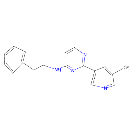 FC(F)(F)c1cncc(-c2nccc(NCCc3ccccc3)n2)c1